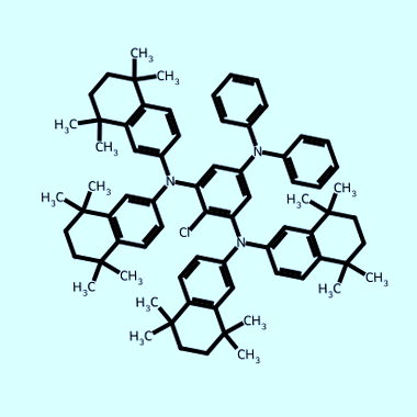 CC1(C)CCC(C)(C)c2cc(N(c3ccc4c(c3)C(C)(C)CCC4(C)C)c3cc(N(c4ccccc4)c4ccccc4)cc(N(c4ccc5c(c4)C(C)(C)CCC5(C)C)c4ccc5c(c4)C(C)(C)CCC5(C)C)c3Cl)ccc21